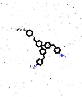 CCCCC[C@H]1CC[C@H](CCC2CCC(c3ccc(Cc4ccc(N)cc4)cc3)(c3ccc(Cc4ccc(N)cc4)cc3)CC2)CC1